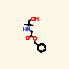 CC(C)(CO)NCC(=O)OCc1ccccc1